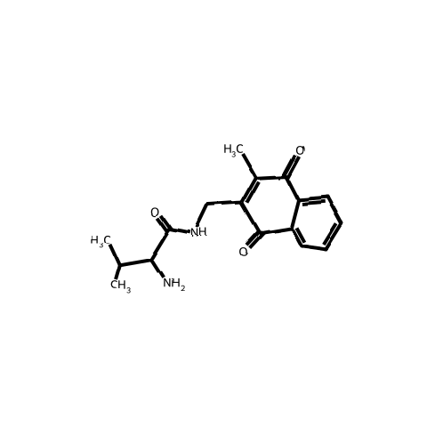 CC1=C(CNC(=O)C(N)C(C)C)C(=O)c2ccccc2C1=O